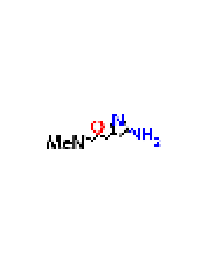 CNCCC(=O)Cc1cncc(N)c1